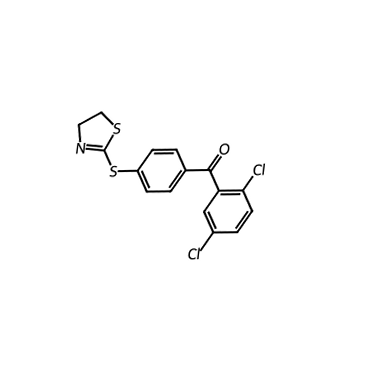 O=C(c1ccc(SC2=NCCS2)cc1)c1cc(Cl)ccc1Cl